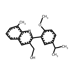 COc1ccc(C(C)C)cc1-c1nc2c(C)cccc2cc1CO